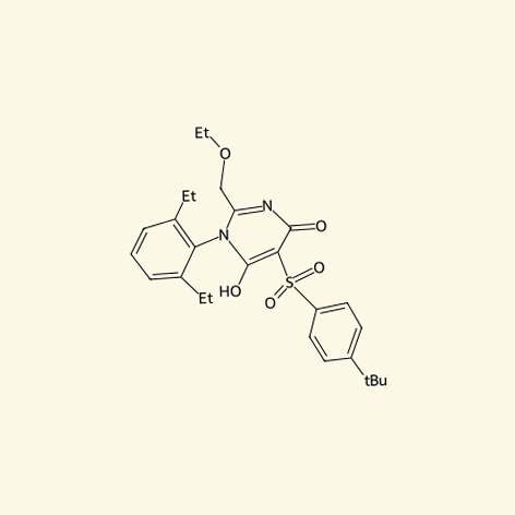 CCOCc1nc(=O)c(S(=O)(=O)c2ccc(C(C)(C)C)cc2)c(O)n1-c1c(CC)cccc1CC